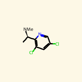 CN[C@H](C)c1ncc(Cl)cc1Cl